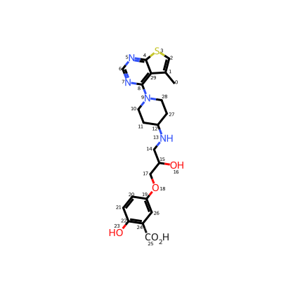 Cc1csc2ncnc(N3CCC(NCC(O)COc4ccc(O)c(C(=O)O)c4)CC3)c12